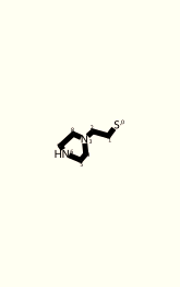 [S]CCN1CCNCC1